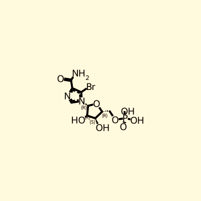 NC(=O)c1ncn([C@@H]2O[C@H](COP(=O)(O)O)[C@@H](O)[C@H]2O)c1Br